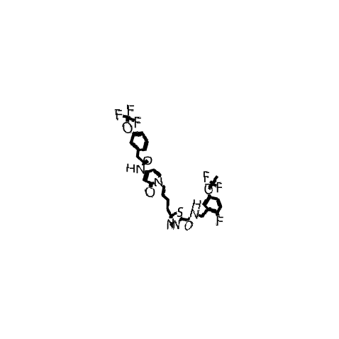 CC(F)(F)Oc1ccc(F)c(CNC(=O)c2nnc(CCCCn3ccc(NC(=O)Cc4cccc(OC(F)(F)F)c4)cc3=O)s2)c1